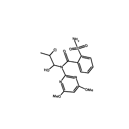 COc1cc(OC)nc(N(C(=O)c2ccccc2S(N)(=O)=O)C(O)C(C)Cl)n1